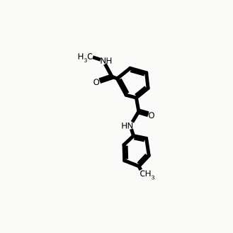 CNC(=O)c1cccc(C(=O)Nc2ccc(C)cc2)c1